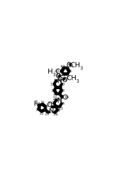 COc1cc(C)c(S(=O)(=O)N2CCc3ccc(C(=O)N4CCC5(CC4)CCN(Cc4ccc(F)cc4)C5=O)cc3C2)c(C)c1